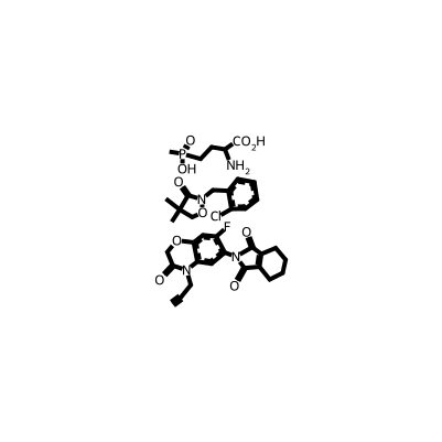 C#CCN1C(=O)COc2cc(F)c(N3C(=O)C4=C(CCCC4)C3=O)cc21.CC1(C)CON(Cc2ccccc2Cl)C1=O.CP(=O)(O)CCC(N)C(=O)O